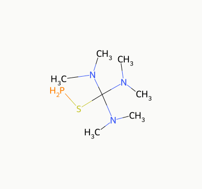 CN(C)C(SP)(N(C)C)N(C)C